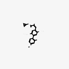 COc1cc(-c2ccc(NC(C)C)cc2F)c(OC)cc1/C=C(/F)C(=O)NC1CC1